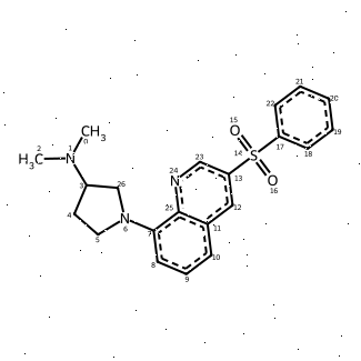 CN(C)C1CCN(c2cccc3cc(S(=O)(=O)c4ccccc4)cnc23)C1